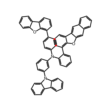 c1cc(N(c2ccc(-c3cccc4c3oc3ccccc34)cc2)c2ccccc2-c2cccc3c2oc2cc4ccccc4cc23)cc(-n2c3ccccc3c3ccccc32)c1